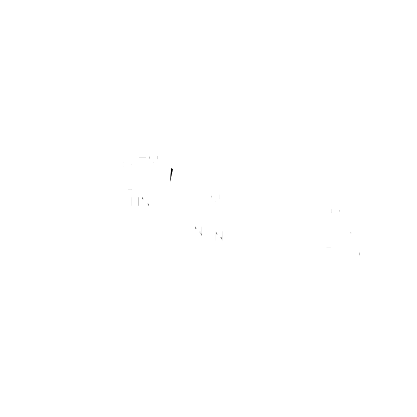 CC(F)(F)Oc1ccc(-c2nnc([C@H](CO)NC(=O)c3ccc(F)cc3)o2)cc1